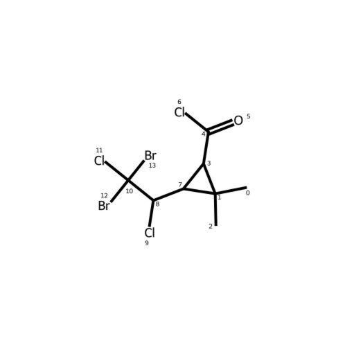 CC1(C)C(C(=O)Cl)C1C(Cl)C(Cl)(Br)Br